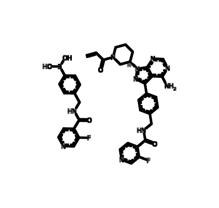 C=CC(=O)N1CCC[C@@H](n2nc(-c3ccc(CNC(=O)c4ccncc4F)cc3)c3c(N)ncnc32)C1.O=C(NCc1ccc(B(O)O)cc1)c1ccncc1F